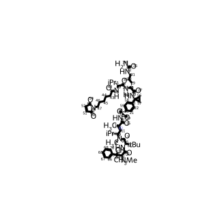 CN[C@H](C(=O)NC(C(=O)N(C)[C@H](/C=C(\C)C(=O)NS(=O)(=O)c1ccc(C2(NC(=O)[C@@H](CCCNC(N)=O)NC(=O)[C@H](NC(=O)CCCCCN3C(=O)C=CC3=O)C(C)C)CC2)cc1)C(C)C)C(C)(C)C)C(C)(C)c1ccccc1